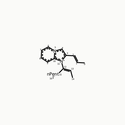 CC=Cc1cn2ccccc2[n+]1C(=CC)CCCCC.[I-]